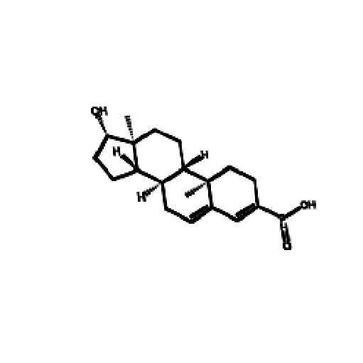 C[C@]12CC[C@H]3[C@@H](CC=C4C=C([PH](=O)O)CC[C@@]43C)[C@@H]1CC[C@@H]2O